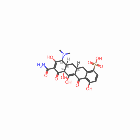 CN(C)[C@@H]1C(O)=C(C(N)=O)C(=O)[C@@]2(O)C(O)=C3C(=O)c4c(O)ccc(S(=O)(=O)O)c4C[C@H]3C[C@@H]12